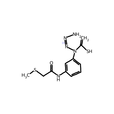 C=C(S)N(/N=N\N)c1cccc(NC(=O)CSC)c1